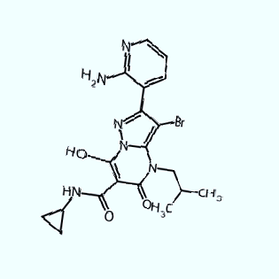 CC(C)Cn1c(=O)c(C(=O)NC2CC2)c(O)n2nc(-c3cccnc3N)c(Br)c12